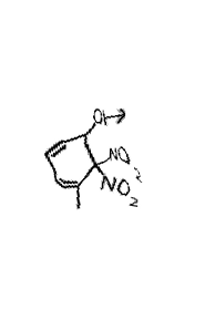 CC1=CC=CC(O)C1([N+](=O)[O-])[N+](=O)[O-]